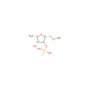 CC(C)OC[C@H]1O[C@@H](C)[C@@H](O)C1OP(O)(O)=S